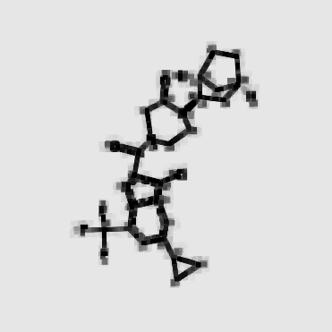 O=C(c1nc2c(C(F)(F)F)cc(C3CC3)cn2c1Cl)N1CCN([C@@H]2C[C@@H]3CC[C@H]2C3)C(=O)C1